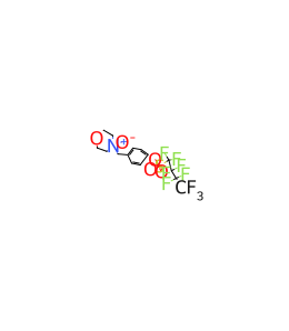 O=S(=O)(Oc1ccc(C[N+]2([O-])CCOCC2)cc1)C(F)(F)C(F)(F)C(F)(F)C(F)(F)F